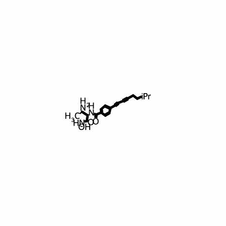 CC(C)CCC#CC#Cc1ccc(C(=O)N[C@H](C(=O)NO)[C@@H](C)N)cc1